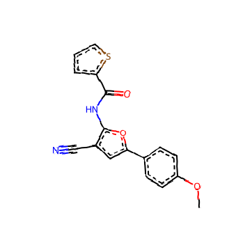 COc1ccc(-c2cc(C#N)c(NC(=O)c3cccs3)o2)cc1